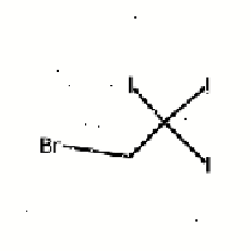 BrCC(I)(I)I